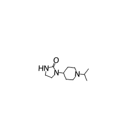 CC(C)N1CCC(N2CCNC2=O)CC1